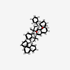 CC(C)(C[Si](c1ccccc1)(c1ccccc1)c1cccc2ccccc12)OOC(C)(C)C[Si](c1ccccc1)(c1ccccc1)c1cccc2ccccc12